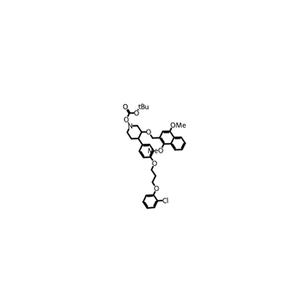 COc1cc(COC2CN(OC(=O)OC(C)(C)C)CCC2c2ccc(OCCCOc3ccccc3Cl)cc2)c(OC)c2ccccc12